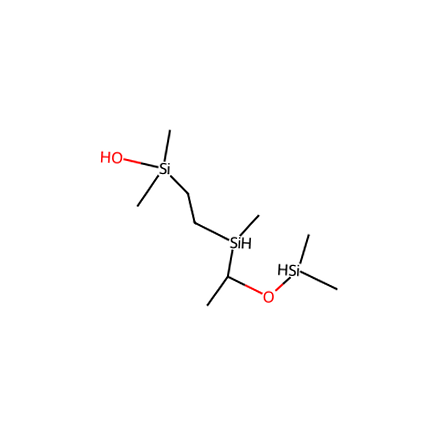 CC(O[SiH](C)C)[SiH](C)CC[Si](C)(C)O